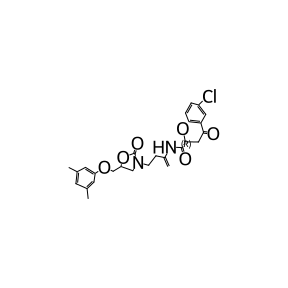 C=C(CCN1CC(COc2cc(C)cc(C)c2)OC1=O)NC(=O)[C@H]1CC(=O)c2cc(Cl)ccc2O1